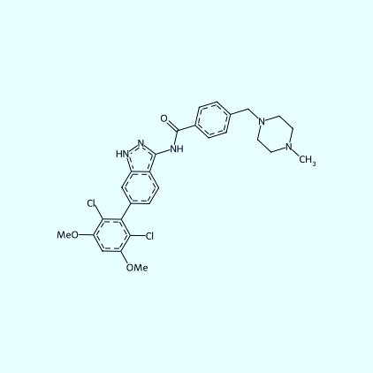 COc1cc(OC)c(Cl)c(-c2ccc3c(NC(=O)c4ccc(CN5CCN(C)CC5)cc4)n[nH]c3c2)c1Cl